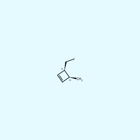 C[C@H]1C=C[C@H]1CI